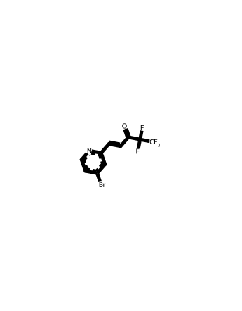 O=C(/C=C/c1cc(Br)ccn1)C(F)(F)C(F)(F)F